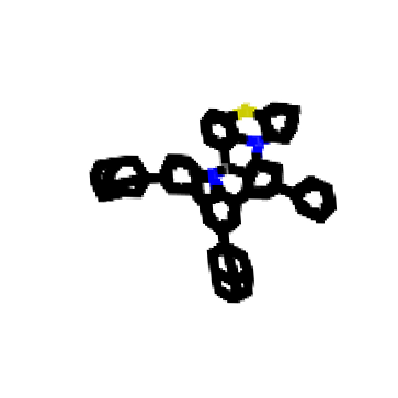 c1ccc(-c2cc3c4c(c2)N2c5ccccc5Sc5cccc(c52)B4n2c4ccc(C56CC7CC(CC(C7)C5)C6)cc4c4cc(C56CC7CC(CC(C7)C5)C6)cc-3c42)cc1